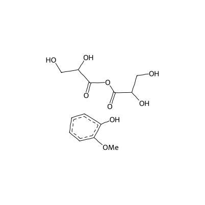 COc1ccccc1O.O=C(OC(=O)C(O)CO)C(O)CO